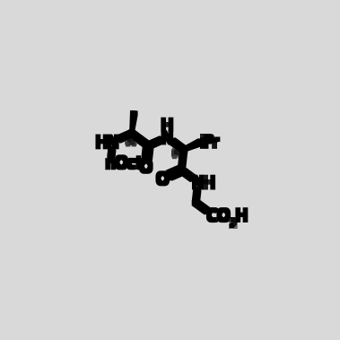 CCCCCCCCN[C@@H](C)C(=O)N[C@H](C(=O)NCC(=O)O)C(C)C